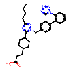 CCCCc1nc(C2CCC(CCC(=O)O)CC2)n(Cc2ccc(-c3ccccc3-n3cnnn3)cc2)n1